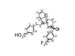 O=C(O)c1ccc(CCn2c3c(c4ccccc42)CCN(C(=O)c2ccc(C(F)(F)F)cc2)C3)cc1